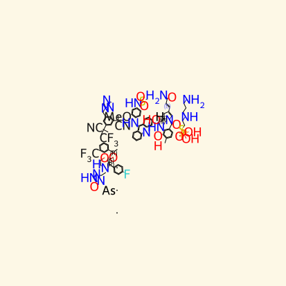 CC(C)(C#N)c1cc(Cn2cncn2)cc(C(C)(C)C#N)c1.COc1cc(NS(C)(=O)=O)ccc1Nc1c2ccccc2nc2ccccc12.C[C@@H](O[C@@H]1OCCN(Cc2nc(=O)[nH][nH]2)[C@@H]1c1ccc(F)cc1)c1cc(C(F)(F)F)cc(C(F)(F)F)c1.Cc1ccc2c(c1O)N[C@@H](O)[C@@H]1CC(/C=C/C(N)=O)=CN1C2=O.NCCCNCCSP(=O)(O)O.[As]